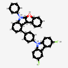 Fc1ccc2c(c1)c1cc(F)ccc1n2-c1ccc(-c2cccc3c2c2c4ccccc4oc2n3-c2ccccc2)cc1